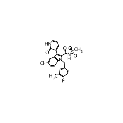 Cc1cc(Cn2c(C(=O)NS(C)(=O)=O)c(-c3ccc[nH]c3=O)c3cc(Cl)ccc32)ccc1F